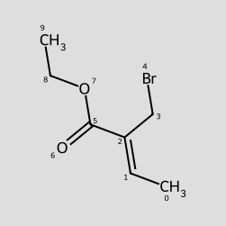 CC=C(CBr)C(=O)OCC